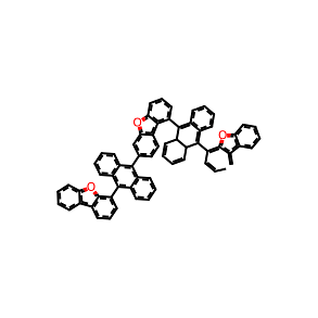 C=c1/c(=C(\C=C/C)C2=c3ccccc3=C(c3cccc4oc5cc(-c6c7ccccc7c(-c7cccc8c7oc7ccccc78)c7ccccc67)ccc5c34)C3C=CC=CC23)oc2ccccc12